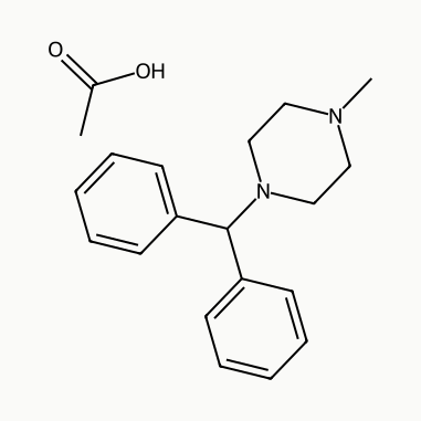 CC(=O)O.CN1CCN(C(c2ccccc2)c2ccccc2)CC1